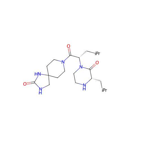 CC(C)C[C@@H]1NCCN([C@@H](CC(C)C)C(=O)N2CCC3(CC2)CNC(=O)N3)C1=O